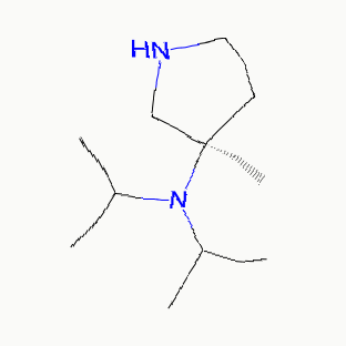 CC(C)N(C(C)C)[C@]1(C)CCNC1